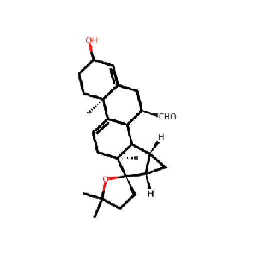 CC1(C)CC[C@]2(O1)[C@H]1C[C@H]1C1C3C(=CC[C@@]12C)[C@@]1(C)CCC(O)C=C1C[C@H]3C=O